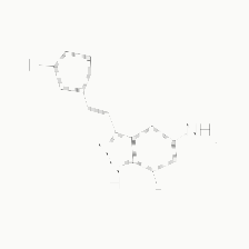 Nc1cc(F)c2[nH]nc(C=Cc3cccc(F)c3)c2c1